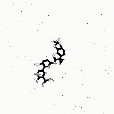 Cc1ccc(NC(=O)C2(c3ccc4c(c3)OC(F)(F)O4)CC2)nc1-c1c[nH]c(=O)c(C(N)=O)c1